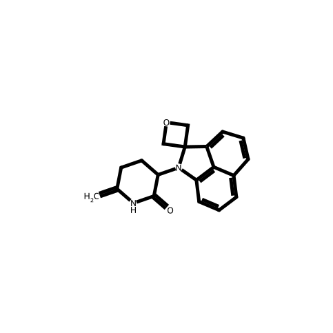 C=C1CCC(N2c3cccc4cccc(c34)C23COC3)C(=O)N1